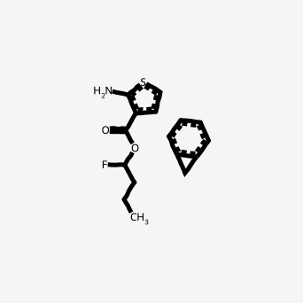 CCCC(F)OC(=O)c1ccsc1N.c1ccc2c(c1)C2